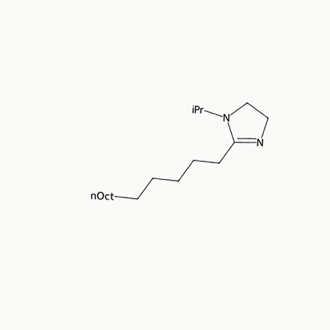 CCCCCCCCCCCCCC1=NCCN1C(C)C